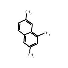 Cc1cc(C)c2cc(C)ccc2c1